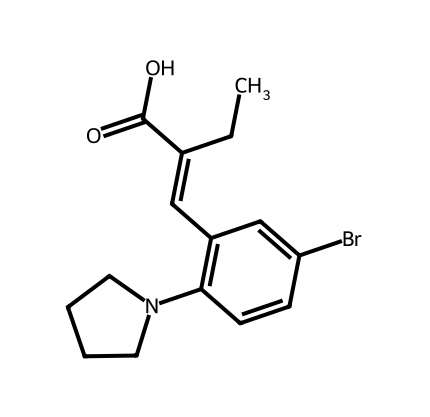 CC/C(=C\c1cc(Br)ccc1N1CCCC1)C(=O)O